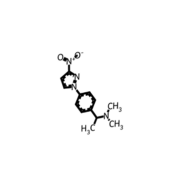 CC(c1ccc(-n2ccc([N+](=O)[O-])n2)cc1)N(C)C